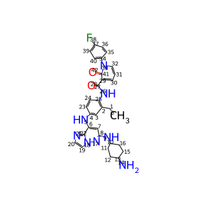 CCc1cc(Nc2cc(NC3CCC(N)CC3)nn3ccnc23)ccc1NC(=O)c1cccn(-c2ccc(F)cc2)c1=O